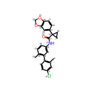 Cc1cc(Cl)ccc1-c1cc(NC(=O)C2(c3ccc4c(c3)OCO4)CC2)ccc1C